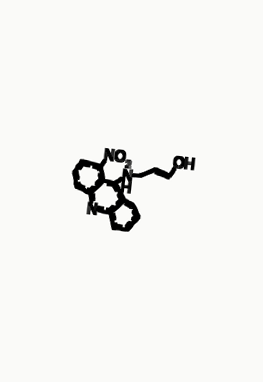 O=[N+]([O-])c1cccc2nc3ccccc3c(NCC=CO)c12